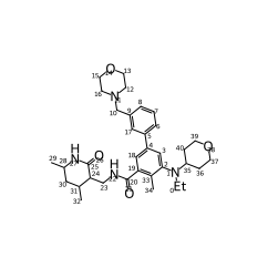 CCN(c1cc(-c2cccc(CN3CCOCC3)c2)cc(C(=O)NCC2C(=O)NC(C)CC2C)c1C)C1CCOCC1